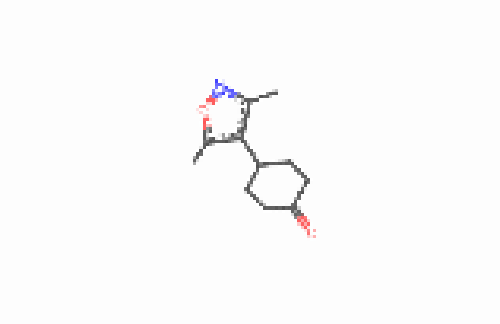 Cc1noc(C)c1C1CCC(=O)CC1